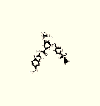 COc1ccc2nc(NC(=O)c3cc(Oc4ccc(S(=O)(=O)C5CC5)nc4)cc(OC(C)C)c3)sc2n1